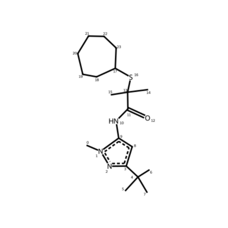 Cn1nc(C(C)(C)C)cc1NC(=O)C(C)(C)SC1CCCCCC1